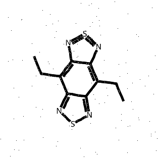 CCc1c2c(c(CC)c3nsnc13)N=S=N2